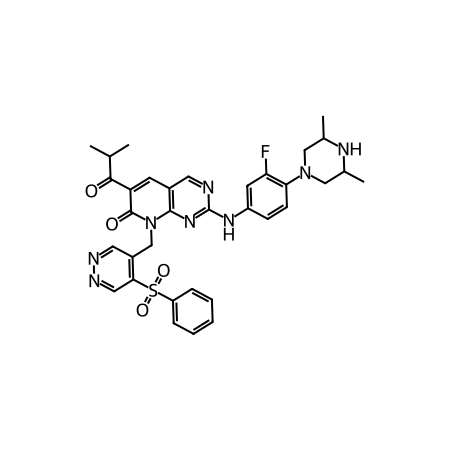 CC1CN(c2ccc(Nc3ncc4cc(C(=O)C(C)C)c(=O)n(Cc5cnncc5S(=O)(=O)c5ccccc5)c4n3)cc2F)CC(C)N1